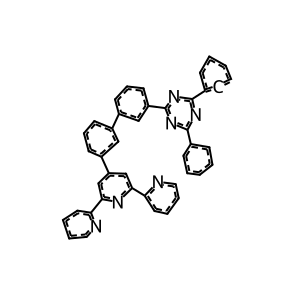 c1ccc(-c2nc(-c3ccccc3)nc(-c3cccc(-c4cccc(-c5cc(-c6ccccn6)nc(-c6ccccn6)c5)c4)c3)n2)cc1